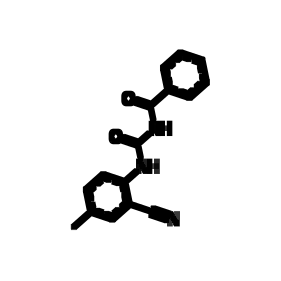 Cc1ccc(NC(=O)NC(=O)c2ccccc2)c(C#N)c1